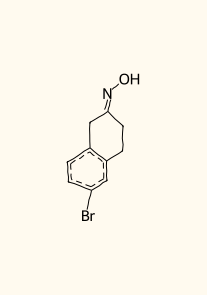 ON=C1CCc2cc(Br)ccc2C1